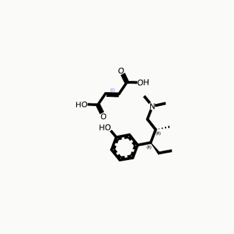 CC[C@@H](c1cccc(O)c1)[C@@H](C)CN(C)C.O=C(O)/C=C/C(=O)O